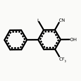 N#Cc1c(O)c(C(F)(F)F)cc(-c2ccccc2)c1I